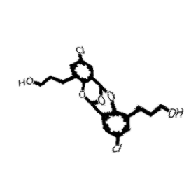 OCCCc1cc(Cl)cc2c1OC1OC2Oc2c(CCCO)cc(Cl)cc21